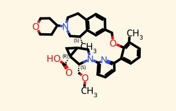 COC[C@H]1N(c2cccc(-c3cccc(C)c3OCc3ccc4c(c3)[C@H](C)CN(C3CCOCC3)CC4)n2)CC2C[C@@]21C(=O)O